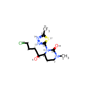 CN1CCC(C(=O)CCCCl)N(c2nnc(C(F)(F)F)s2)C1=O